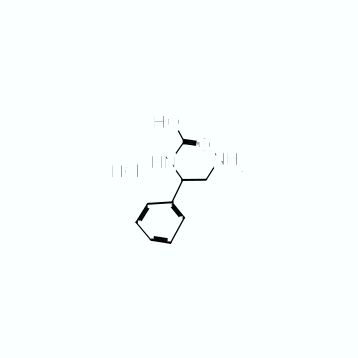 Cl.NCC(NC(=O)O)c1ccccc1